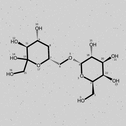 OC[C@H]1O[C@H](OC[C@H]2C[C@@H](O)[C@H](O)C(O)(CO)O2)[C@H](O)[C@@H](O)[C@H]1O